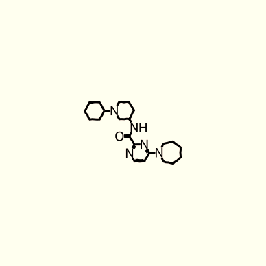 O=C(NC1CCCN(C2CCCCC2)C1)c1nccc(N2CCCCCC2)n1